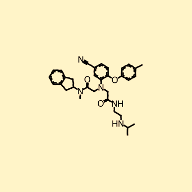 Cc1ccc(Oc2ccc(C#N)cc2N(CC(=O)NCCNC(C)C)CC(=O)N(C)C2Cc3ccccc3C2)cc1